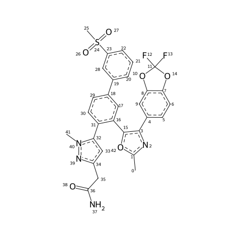 Cc1nc(-c2ccc3c(c2)OC(F)(F)O3)c(-c2cc(-c3cccc(S(C)(=O)=O)c3)ccc2-c2cc(CC(N)=O)nn2C)o1